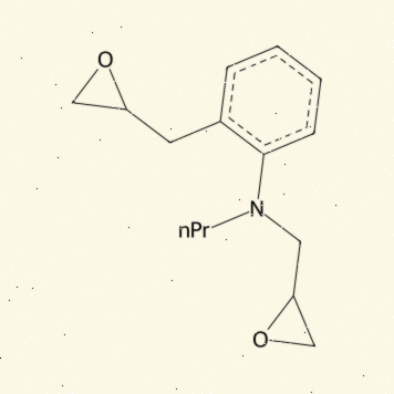 CCCN(CC1CO1)c1ccccc1CC1CO1